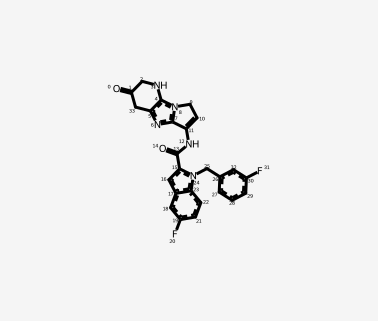 O=C1CNc2c(nc3n2CC=C3NC(=O)c2cc3cc(F)ccc3n2Cc2cccc(F)c2)C1